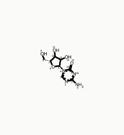 Nc1ncn([C@H]2O[C@H](CO)C(O)C2O)c(=O)n1